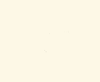 CCN1CCC(CC)(CC)CC1